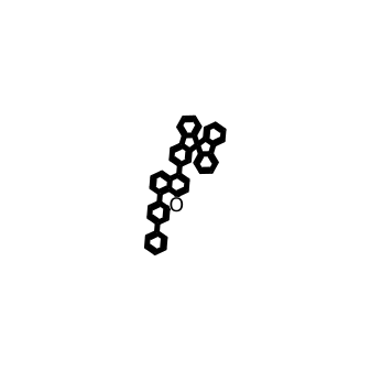 c1ccc(-c2ccc3c(c2)Oc2ccc(-c4ccc5c(c4)C4(c6ccccc6-c6ccccc64)c4ccccc4-5)c4cccc-3c24)cc1